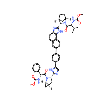 COC(=O)N[C@H](C(=O)N1[C@@H]2CC[C@@H](C2)[C@H]1c1nc2ccc3cc(-c4ccc(-c5cnc([C@@H]6C[C@H]7C[C@H]7N6C(=O)[C@H](NC(=O)OC)c6ccccc6)[nH]5)cc4)ccc3c2[nH]1)C(C)C